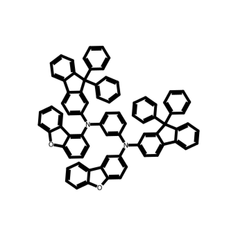 c1ccc(C2(c3ccccc3)c3ccccc3-c3ccc(N(c4cccc(N(c5ccc6c(c5)C(c5ccccc5)(c5ccccc5)c5ccccc5-6)c5cccc6oc7ccccc7c56)c4)c4ccc5oc6ccccc6c5c4)cc32)cc1